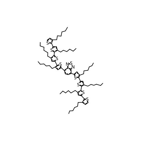 CCCCCCc1ccsc1-c1cc(CCCCCC)c(-c2sc(-c3sc(-c4ccc(-c5cc(CCCCCC)c(-c6cc(CCCCCC)c(-c7sc(-c8sccc8CCCCCC)cc7CCCCCC)s6)s5)c5nsnc45)cc3CCCCCC)cc2CCCCCC)s1